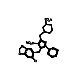 O=C(O)c1c(Cc2cc3c(cc2Cl)OCO3)c(-c2ccccc2)nn1CC1CCCC(C(=O)O)C1